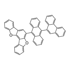 c1ccc2c(c1)cc(-c1c3ccccc3c(-c3cc4c5ccccc5oc4c4c3oc3ccccc34)c3ccccc13)c1ccccc12